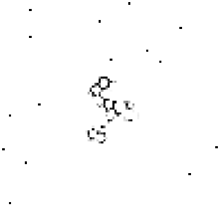 CC[C@@H]1NCCN2c3nc(OC[C@@]45CCCN4C[C@H](F)C5)nc4c(F)c(-c5cc(O)cc6ccc(F)cc56)nc(c34)OC[C@H]12